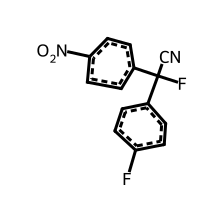 N#CC(F)(c1ccc(F)cc1)c1ccc([N+](=O)[O-])cc1